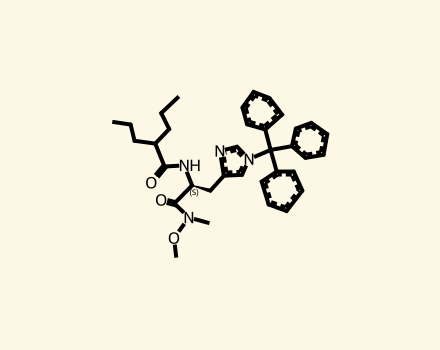 CCCC(CCC)C(=O)N[C@@H](Cc1cn(C(c2ccccc2)(c2ccccc2)c2ccccc2)cn1)C(=O)N(C)OC